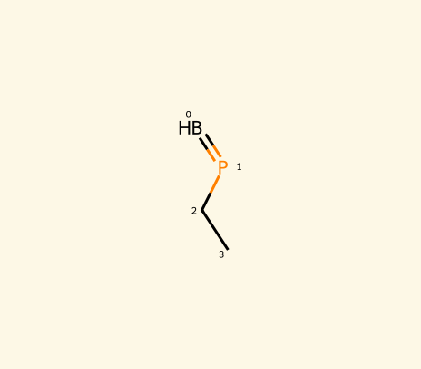 B=PCC